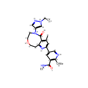 CCNC(=O)c1cc(-c2cc(C)c3c(n2)CCOCCN(c2cnn(CC(F)(F)F)c2)C3=O)cnc1OC